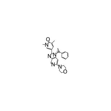 Cc1cc(-c2nc3cnc(N4CCOCC4)cc3n2[C@@H](C)c2ccccc2)cn(C)c1=O